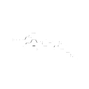 CC1CCc2c(N3CCC(OC(=O)[C@@H](N)CCCCN)CC3)c(F)cc3c(=O)c(C(=O)O)cn1c23